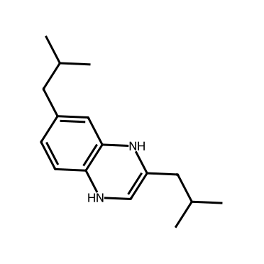 CC(C)CC1=CNc2ccc(CC(C)C)cc2N1